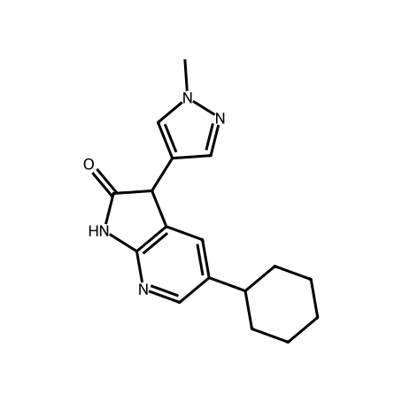 Cn1cc(C2C(=O)Nc3ncc(C4CCCCC4)cc32)cn1